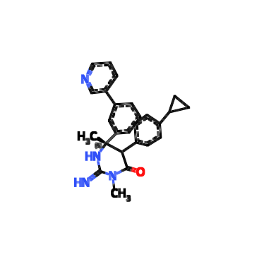 CN1C(=N)N[C@](C)(c2cccc(-c3cccnc3)c2)C(c2ccc(C3CC3)cc2)C1=O